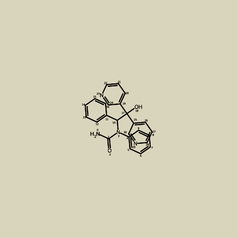 NC(=O)N(c1ccccc1)C(c1ccccc1)C(O)(c1cccnc1)c1cccnc1